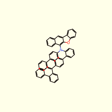 c1ccc(-c2ccc(N(c3ccccc3-c3ccc(-c4cc5ccccc5c5ccccc45)cc3)c3c4ccccc4cc4c3oc3ccccc34)cc2)cc1